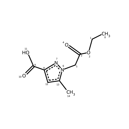 CCOC(=O)Cn1nc(C(=O)O)cc1C